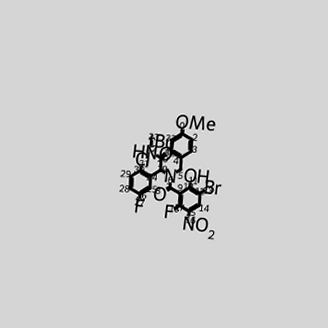 COc1ccc(CN(C(=O)c2c(O)c(Br)cc([N+](=O)[O-])c2F)C(C(=O)NC(C)(C)C)c2cc(F)ccc2Cl)cc1